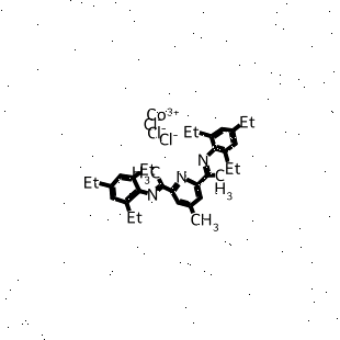 CCc1cc(CC)c(N=C(C)c2cc(C)cc(C(C)=Nc3c(CC)cc(CC)cc3CC)n2)c(CC)c1.[Cl-].[Cl-].[Cl-].[Co+3]